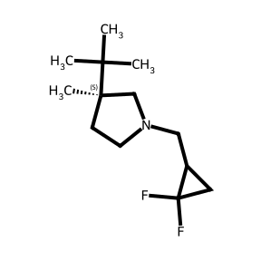 CC(C)(C)[C@]1(C)CCN(CC2CC2(F)F)C1